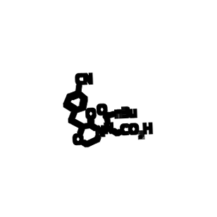 CCCCC(=O)N(CC(=O)O)N1CCOC(Cc2ccc(C#N)cc2)C1=O